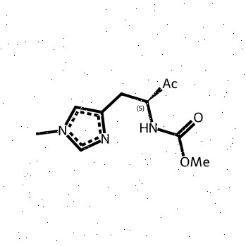 COC(=O)N[C@@H](Cc1cn(C)cn1)C(C)=O